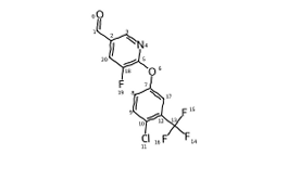 O=Cc1cnc(Oc2ccc(Cl)c(C(F)(F)F)c2)c(F)c1